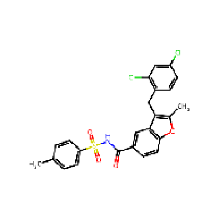 Cc1ccc(S(=O)(=O)NC(=O)c2ccc3oc(C)c(Cc4ccc(Cl)cc4Cl)c3c2)cc1